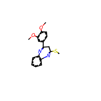 COc1ccc(C2=Nc3ccccc3N=C(SC)C2)cc1OC